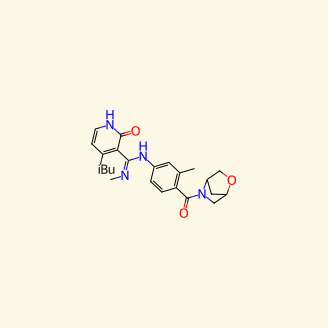 CCC(C)c1cc[nH]c(=O)c1/C(=N\C)Nc1ccc(C(=O)N2CC3CC2CO3)c(C)c1